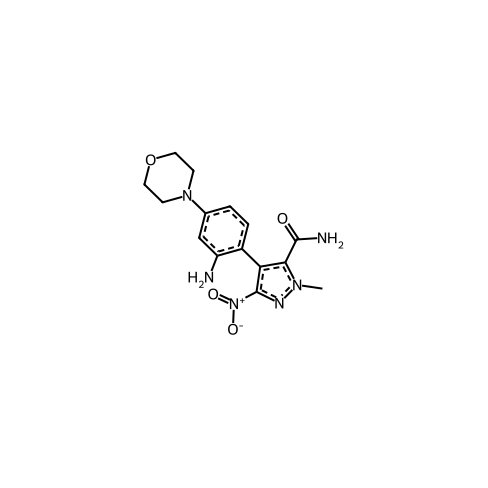 Cn1nc([N+](=O)[O-])c(-c2ccc(N3CCOCC3)cc2N)c1C(N)=O